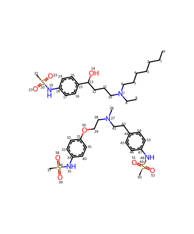 CCCCCCCN(CC)CCCC(O)c1ccc(NS(C)(=O)=O)cc1.CN(CCOc1ccc(NS(C)(=O)=O)cc1)CCc1ccc(NS(C)(=O)=O)cc1